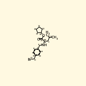 CC(C)C[C@@H](NCc1ccc(CBr)cc1)C(=O)OC1CCCC1